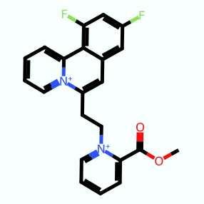 COC(=O)c1cccc[n+]1CCc1cc2cc(F)cc(F)c2c2cccc[n+]12